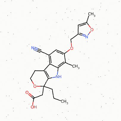 CCCC1(CC(=O)O)OCCc2c1[nH]c1c(C)c(OCc3cc(C)on3)cc(C#N)c21